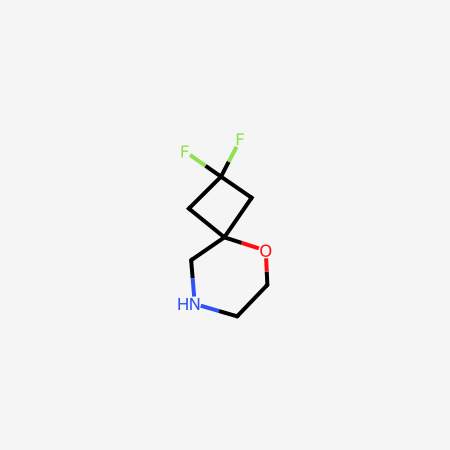 FC1(F)CC2(CNCCO2)C1